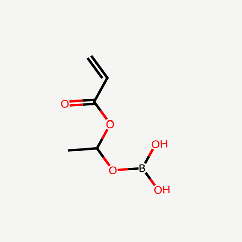 C=CC(=O)OC(C)OB(O)O